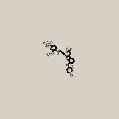 COc1nc(S(C)(=N)=O)ccc1NCC#Cc1sc2c(N[C@@H]3CCN(C)C[C@@H]3F)cccc2c1CC(F)(F)F